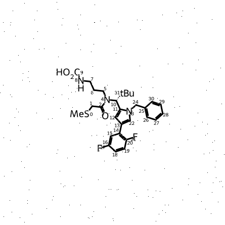 CSCC(=O)N(CCCNC(=O)O)[C@@H](c1cc(-c2cc(F)ccc2F)cn1Cc1ccccc1)C(C)(C)C